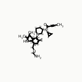 CC#CC(=O)N(C1CC1)[C@H]1CCCN(c2c(F)cc(COCN)c3[nH]c(C)c(C)c23)C1